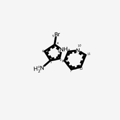 Nc1c[nH]c(Br)c1.c1ccncc1